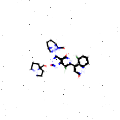 Oc1cc(-c2nc3c4c(nc(OCC56CCCN5C[C@H](F)C6)nc4c2F)N2CC4CCC(N4)C2CO3)c2c(F)cccc2n1